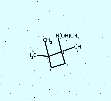 CN(O)C1(C)CCC1(C)C